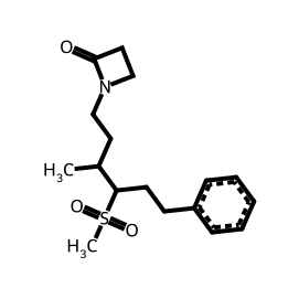 CC(CCN1CCC1=O)C(CCc1ccccc1)S(C)(=O)=O